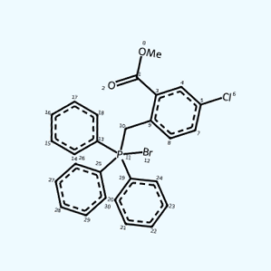 COC(=O)c1cc(Cl)ccc1CP(Br)(c1ccccc1)(c1ccccc1)c1ccccc1